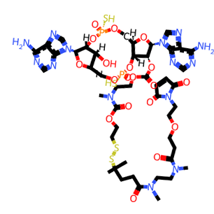 CN(CCN(C)C(=O)CCC(C)(C)SSCCOC(=O)N(C)CCOC(=O)O[C@@H]1[C@@H]2O[P@](=O)(S)OC[C@H]3O[C@@H](n4cnc5c(N)ncnc54)[C@H](O[P@](=O)(S)OC[C@H]2O[C@H]1n1cnc2c(N)ncnc21)[C@@H]3O)C(=O)CCOCCN1C(=O)C=CC1=O